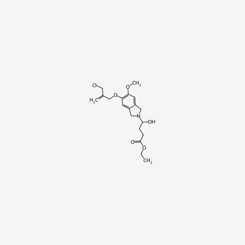 C=C(CCl)COc1cc2c(cc1OC)CN(C(O)CCC(=O)OCC)C2